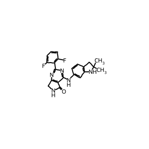 CC1(C)Cc2ccc(Nc3nc(-c4c(F)cccc4F)nc4c3C(=O)NC4)cc2N1